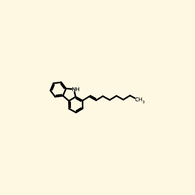 CCCCCCC=Cc1cccc2c1[nH]c1ccccc12